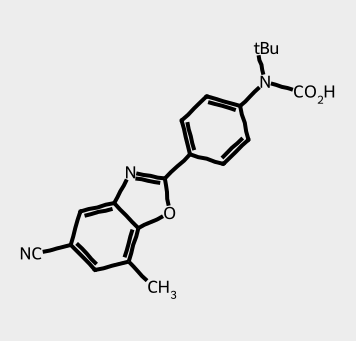 Cc1cc(C#N)cc2nc(-c3ccc(N(C(=O)O)C(C)(C)C)cc3)oc12